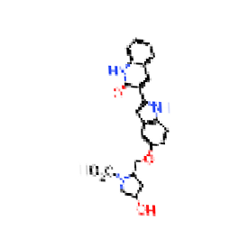 O=C(O)N1C[C@H](O)C[C@@H]1COc1ccc2[nH]c(-c3cc4ccccc4[nH]c3=O)cc2c1